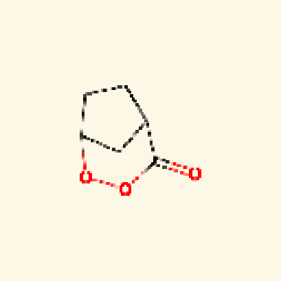 O=C1OOC2CCC1C2